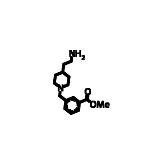 COC(=O)c1cccc(CN2CCC(CCN)CC2)c1